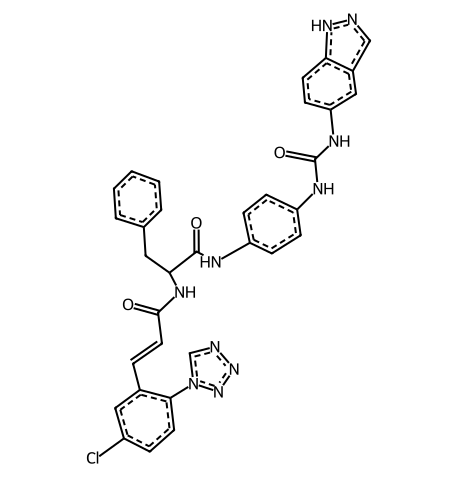 O=C(C=Cc1cc(Cl)ccc1-n1cnnn1)NC(Cc1ccccc1)C(=O)Nc1ccc(NC(=O)Nc2ccc3[nH]ncc3c2)cc1